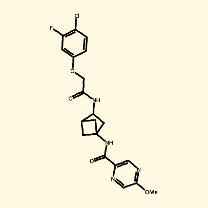 COc1cnc(C(=O)NC23CC(C2)C(NC(=O)COc2ccc(Cl)c(F)c2)C3)cn1